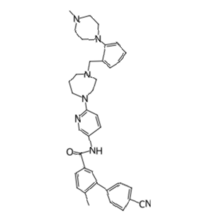 Cc1ccc(C(=O)Nc2ccc(N3CCCN(Cc4ccccc4N4CCN(C)CC4)CC3)nc2)cc1-c1ccc(C#N)cc1